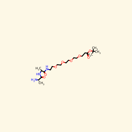 C[C@H](N)C(=O)N[C@@H](C)C(=O)NCCOCCOCCOCCOCCC(=O)OC(C)(C)C